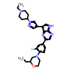 CCC1CN(c2ccc(-c3cnc4[nH]cc(-c5cnn(C6CCN(CC)CC6)c5)c4n3)cc2F)CCO1